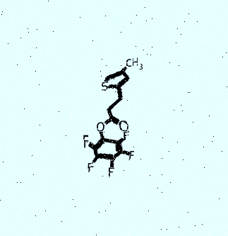 Cc1csc(CCC(=O)Oc2c(F)c(F)c(F)c(F)c2F)c1